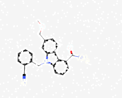 COCc1c[c]c2c3c(C(N)=O)cccc3n(Cc3ccccc3C#N)c2c1